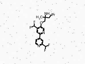 CC(C)CC(C)(N)COc1cnc(-c2ccnc(C(F)F)c2)cc1C(F)F